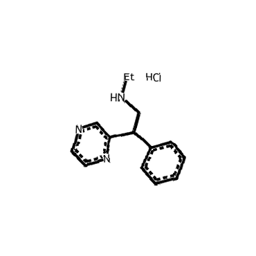 CCNCC(c1ccccc1)c1cnccn1.Cl